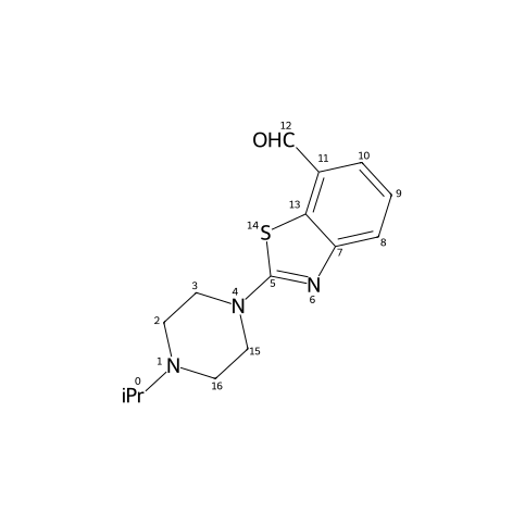 CC(C)N1CCN(c2nc3cccc(C=O)c3s2)CC1